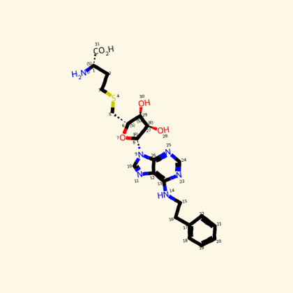 N[C@@H](CCSC[C@H]1O[C@@H](n2cnc3c(NCCc4ccccc4)ncnc32)[C@H](O)[C@@H]1O)C(=O)O